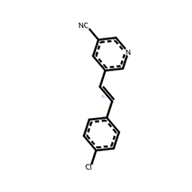 N#Cc1cncc(/C=C/c2ccc(Cl)cc2)c1